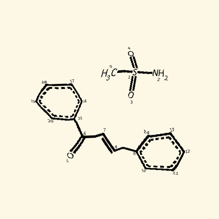 CS(N)(=O)=O.O=C(C=Cc1ccccc1)c1ccccc1